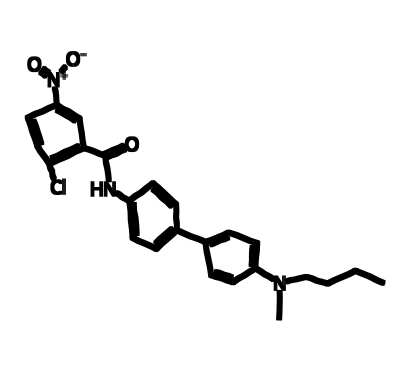 CCCCN(C)c1ccc(-c2ccc(NC(=O)c3cc([N+](=O)[O-])ccc3Cl)cc2)cc1